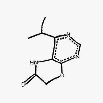 CC(C)c1ncnc2c1NC(=O)CO2